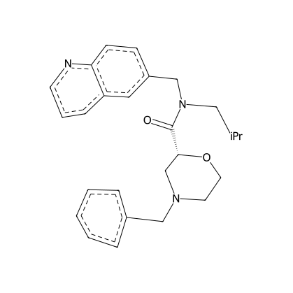 CC(C)CN(Cc1ccc2ncccc2c1)C(=O)[C@H]1CN(Cc2ccccc2)CCO1